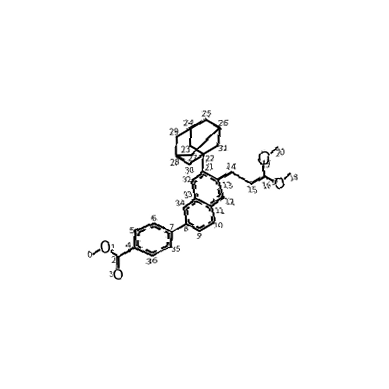 COC(=O)c1ccc(-c2ccc3cc(CCC(OC)OC)c(C45CC6CC(CC(C6)C4)C5)cc3c2)cc1